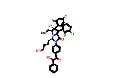 CC(C)(C)C[C@@H]1N2C(=C(c3cccc(Cl)c3F)[C@@]1(C#N)c1ccc(Cl)cc1F)C(=O)N(c1ccc(C(=O)C(O)c3ccccc3)cc1)[C@H]2CCCCO